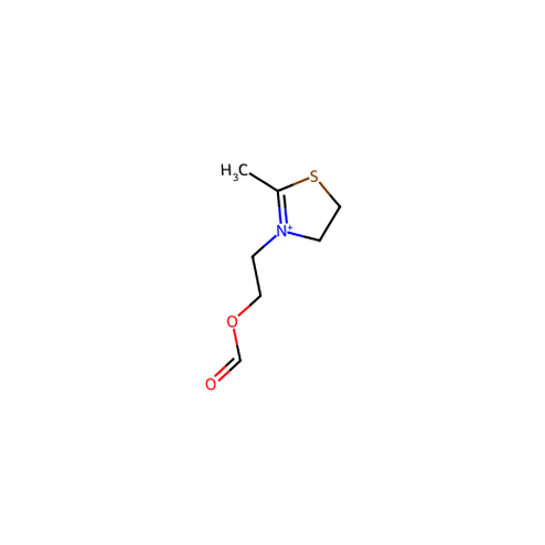 CC1=[N+](CCOC=O)CCS1